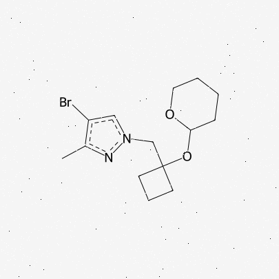 Cc1nn(CC2(OC3CCCCO3)CCC2)cc1Br